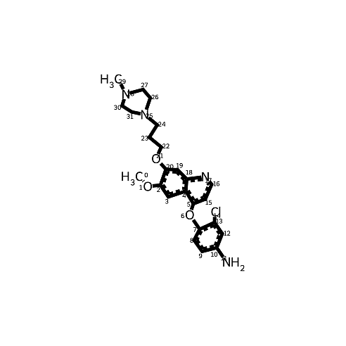 COc1cc2c(Oc3ccc(N)cc3Cl)ccnc2cc1OCCCN1CCN(C)CC1